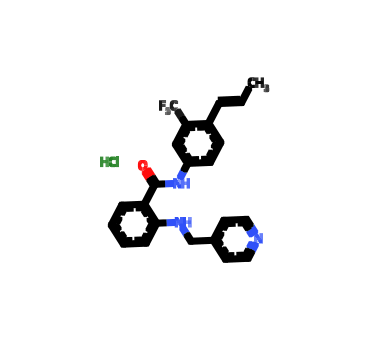 CC=Cc1ccc(NC(=O)c2ccccc2NCc2ccncc2)cc1C(F)(F)F.Cl